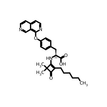 CCCCCCC1=C(N[C@@H](Cc2ccc(Oc3nccc4ccncc34)cc2)C(=O)O)C(C)(C)C1=O